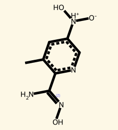 Cc1cc([NH+]([O-])O)cnc1/C(N)=N/O